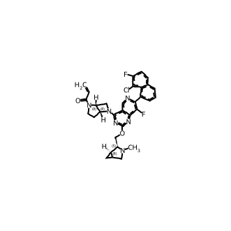 C=CC(=O)N1CC[C@@H]2[C@H]1CN2c1nc(OC[C@@H]2[C@@H]3CC3CN2C)nc2c(F)c(-c3cccc4ccc(F)c(Cl)c34)ncc12